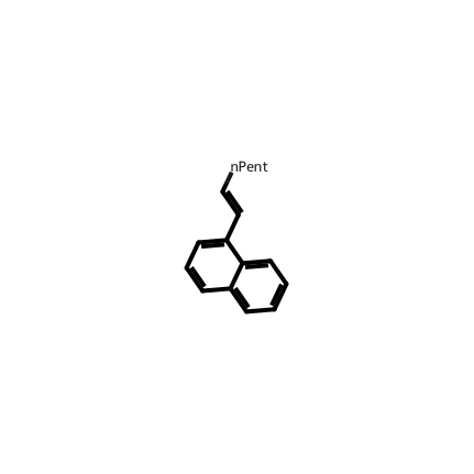 CCCCCC=Cc1cccc2ccccc12